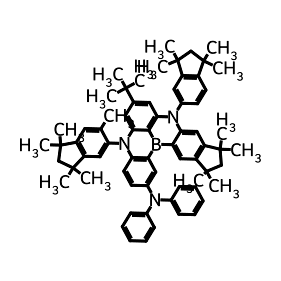 Cc1cc2c(cc1N1c3ccc(N(c4ccccc4)c4ccccc4)cc3B3c4cc5c(cc4N(c4ccc6c(c4)C(C)(C)CC6(C)C)c4cc(C(C)(C)C)cc1c43)C(C)(C)CC5(C)C)C(C)(C)CC2(C)C